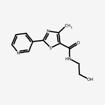 Cc1nc(-c2cccnc2)sc1C(=O)NCCO